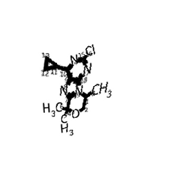 CC1COC(C)(C)c2nc3c(C4CC4)nc(Cl)nc3n21